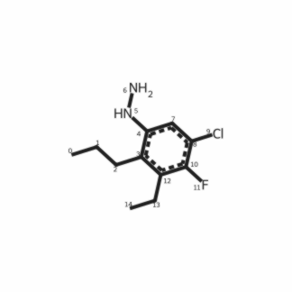 CCCc1c(NN)cc(Cl)c(F)c1CC